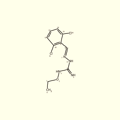 CCONC(=N)N/N=C/c1c(Cl)cccc1Cl